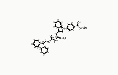 CC(C)(C)OC(=O)c1ccc(-n2cc(C[C@H](NC(=O)OCC3c4ccccc4-c4ccccc43)C(=O)O)c3ccccc32)cc1